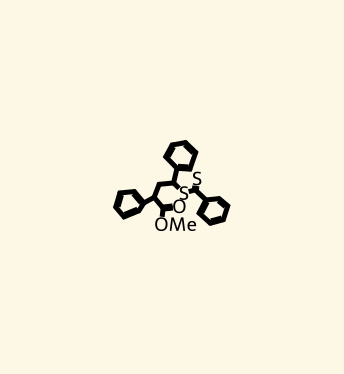 COC(=O)C(CC(SC(=S)c1ccccc1)c1ccccc1)c1ccccc1